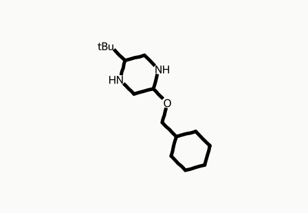 CC(C)(C)C1CNC(OCC2CCCCC2)CN1